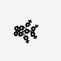 CC(C)(C)c1ccc(N2c3cc(-n4c5ccc(C(C)(C)C)cc5c5cc(C(C)(C)C)ccc54)cc4c3B3c5c2cccc5C(c2ccccc2)(c2ccccc2)c2cccc(c23)N4c2ccc(C(C)(C)C)cc2)cc1